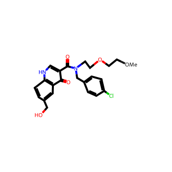 COCCOCCN(Cc1ccc(Cl)cc1)C(=O)c1c[nH]c2ccc(CO)cc2c1=O